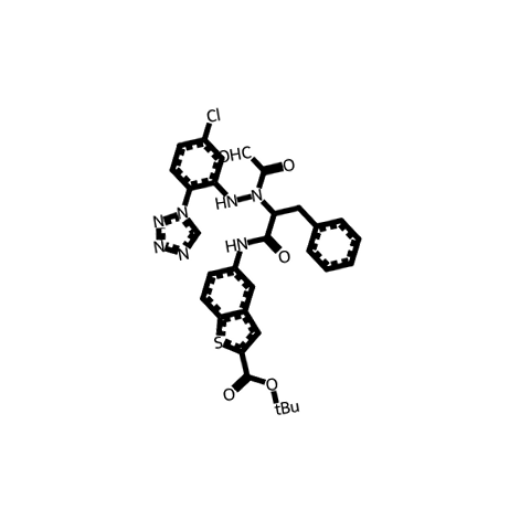 CC(C)(C)OC(=O)c1cc2cc(NC(=O)C(Cc3ccccc3)N(Nc3cc(Cl)ccc3-n3cnnn3)C(=O)C=O)ccc2s1